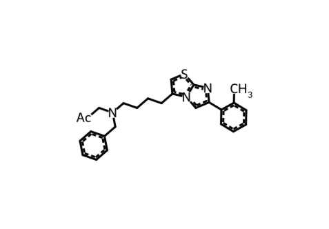 CC(=O)CN(CCCCc1csc2nc(-c3ccccc3C)cn12)Cc1ccccc1